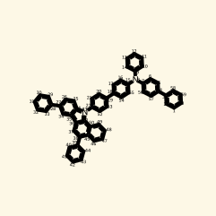 c1ccc(-c2ccc(N(c3ccccc3)c3ccc(-c4ccc(-n5c6ccc(-c7ccccc7)cc6c6cc(-c7ccccc7)c7ccccc7c65)cc4)cc3)cc2)cc1